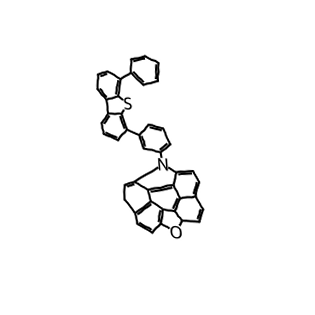 C1=CC2Oc3ccc4c5c3c2c2c1ccc1c2c5c(n1-c1cccc(-c2cccc3c2sc2c(-c5ccccc5)cccc23)c1)=CC4